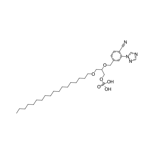 CCCCCCCCCCCCCCCCCCOCC(COP(=O)(O)O)OCc1ccc(C#N)c(-n2cncn2)c1